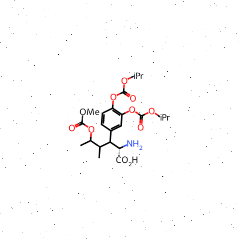 COC(=O)OC(C)C(C)C(c1ccc(OC(=O)OC(C)C)c(OC(=O)OC(C)C)c1)[C@H](N)C(=O)O